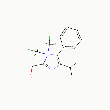 CC(C)C1=C(c2ccccc2)[N+](C(F)(F)F)(C(F)(F)F)C(CO)=N1